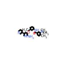 Cc1ccc(C(=O)Nc2cccc(C(C)Oc3cc(-c4cccnc4)cnc3N)c2)cc1N(C)C